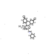 C[C@@H](NC(=O)/C=C/c1ccccc1)[C@H](Cc1ccc(Cl)cc1)c1ccc(Cl)cc1